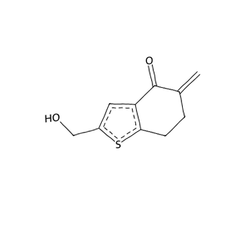 C=C1CCc2sc(CO)cc2C1=O